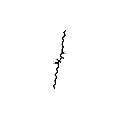 CCCCCCCCCC(=O)C(C)(C)C(C)CC(=O)CCCCCCCC